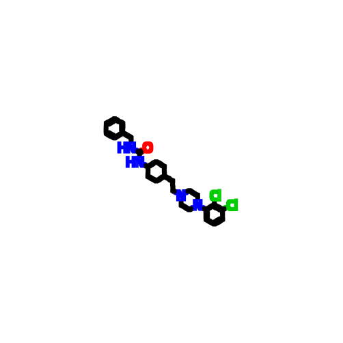 O=C(NCc1ccccc1)NC1CCC(CCN2CCN(c3cccc(Cl)c3Cl)CC2)CC1